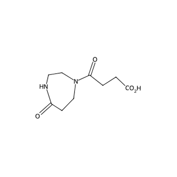 O=C(O)CCC(=O)N1CCNC(=O)CC1